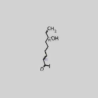 C=C[C@H](O)CCC/C=C/C(=O)I